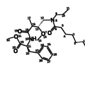 CCCCCCC(=O)N(CCC)C[C@H](OC)C(C)C(=O)N[C@@H](Cc1ccccc1)C(=O)OC